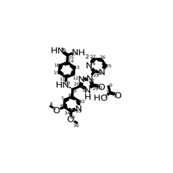 CC(=O)O.COc1cc([C@H](Nc2ccc(C(=N)N)cc2)c2nn(-c3ncccn3)c(=O)[nH]2)cnc1OC